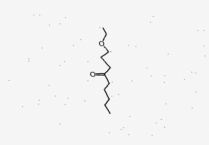 CCCCCC(=O)CC[CH]OCC